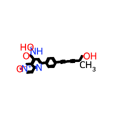 CC(C#CC#Cc1ccc(-c2cc(C(=O)NO)c3c[n+]([O-])ccc3n2)cc1)CO